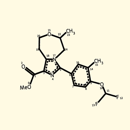 COC(=O)c1nc(-c2ccc(OC(F)F)c(C)c2)n2c1CCOC(C)C2